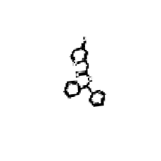 O=C(CC1=CC(=S)CC=N1)OC(c1ccccc1)c1ccccc1